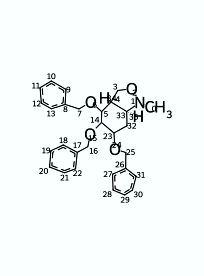 CN1OC[C@H]2C(OCc3ccccc3)C(OCc3ccccc3)C(OCc3ccccc3)C[C@@H]21